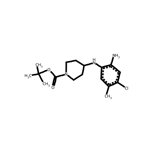 Cc1cc(NC2CCN(C(=O)OC(C)(C)C)CC2)c(N)cc1Cl